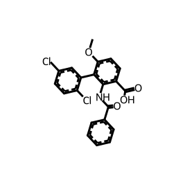 COc1ccc(C(=O)O)c(NC(=O)c2ccccc2)c1-c1cc(Cl)ccc1Cl